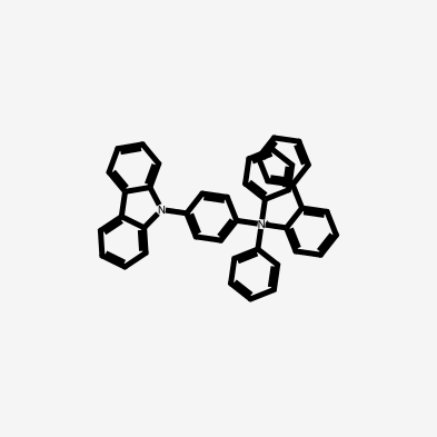 c1ccc(-c2ccccc2[N+](c2ccccc2)(c2ccccc2)c2ccc(-n3c4ccccc4c4ccccc43)cc2)cc1